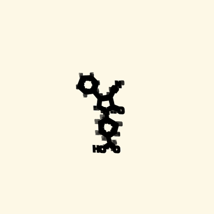 N#CC1=C(c2ccccc2)CN(c2ccc(C(=O)O)cc2)C1=O